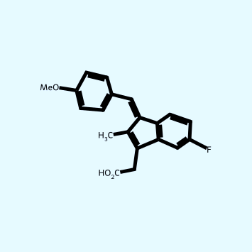 COc1ccc(C=C2C(C)=C(CC(=O)O)c3cc(F)ccc32)cc1